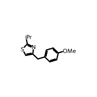 COc1ccc(Cc2csc(C(C)C)n2)cc1